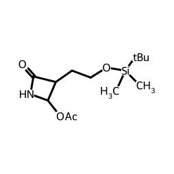 CC(=O)OC1NC(=O)C1CCO[Si](C)(C)C(C)(C)C